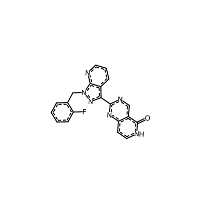 O=c1[nH]ccc2nc(-c3nn(Cc4ccccc4F)c4ncccc34)ncc12